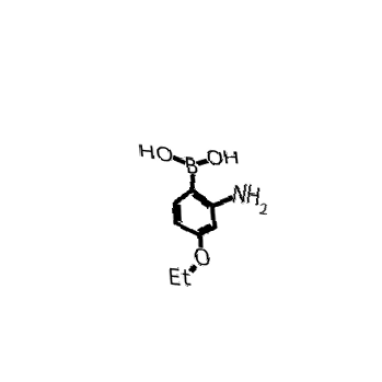 CCOc1ccc(B(O)O)c(N)c1